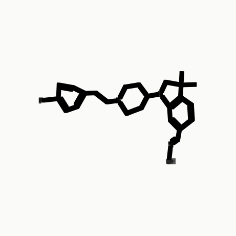 CC1(C)CN(C2CCN(CCc3ccc(F)cc3)CC2)c2cc(C=NO)ccc21